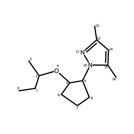 CCC(C)OC1CCCC1n1nc(C)cc1C